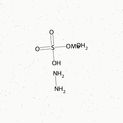 COS(=O)(=O)O.NN.O